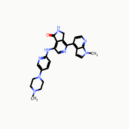 CN1CCN(c2ccc(Nc3cnc(-c4ccnc5c4ccn5C)c4c3C(=O)NC4)nc2)CC1